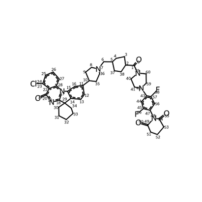 O=C(C1CCC(CN2CCC(c3ccc4c(c3)-n3c(nc(=O)c5c(Cl)cccc53)C43CCCCC3)CC2)CC1)N1CCN(c2cc(F)c(N3C(=O)CCCC3=O)cc2F)CC1